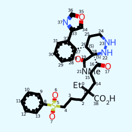 CCC(CCCS(=O)(=O)c1ccccc1)(CCC(=O)[C@@]1(C(=O)NC)NNCC[C@H]1c1ccccc1-c1cocn1)C(=O)O